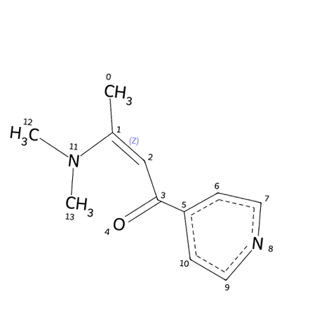 C/C(=C/C(=O)c1ccncc1)N(C)C